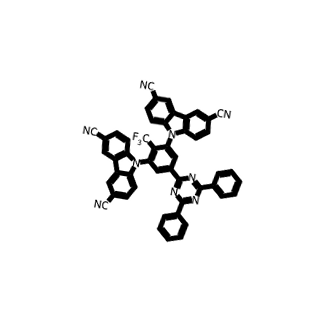 N#Cc1ccc2c(c1)c1cc(C#N)ccc1n2-c1cc(-c2nc(-c3ccccc3)nc(-c3ccccc3)n2)cc(-n2c3ccc(C#N)cc3c3cc(C#N)ccc32)c1C(F)(F)F